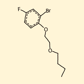 CCCCOCCOc1ccc(F)cc1Br